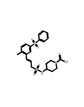 Cc1ccc(S(=O)(=O)c2ccccc2)cc1C=CCS(=O)(=O)NC1CCN(C(=O)O)CC1